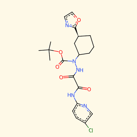 CC(C)(C)OC(=O)N(NC(=O)C(=O)Nc1ccc(Cl)cn1)C1CCC[C@H](c2ncco2)C1